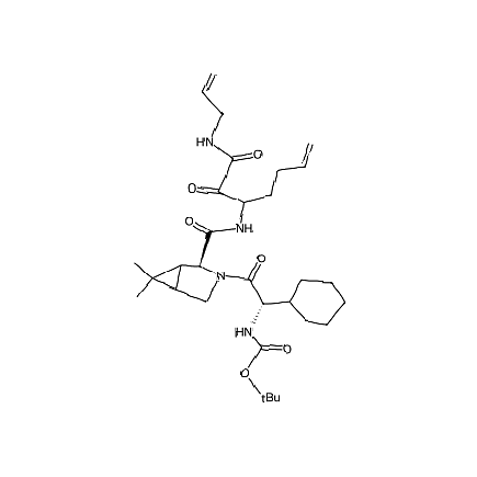 C=CCCC(NC(=O)[C@@H]1C2C(CN1C(=O)[C@@H](NC(=O)OC(C)(C)C)C1CCCCC1)C2(C)C)C(=O)C(=O)NCC=C